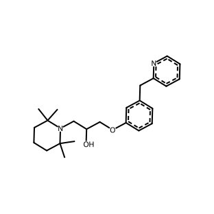 CC1(C)CCCC(C)(C)N1CC(O)COc1cccc(Cc2ccccn2)c1